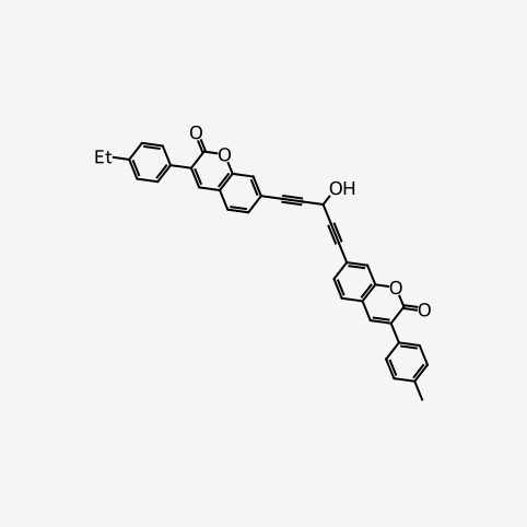 CCc1ccc(-c2cc3ccc(C#CC(O)C#Cc4ccc5cc(-c6ccc(C)cc6)c(=O)oc5c4)cc3oc2=O)cc1